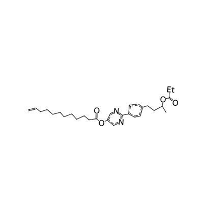 C=CCCCCCCCCCC(=O)Oc1cnc(-c2ccc(CCC(C)OC(=O)CC)cc2)nc1